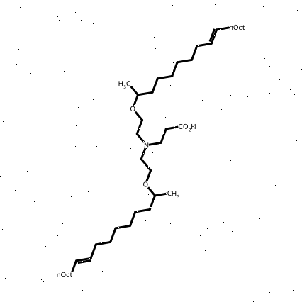 CCCCCCCCC=CCCCCCCC(C)OCCN(CCOC(C)CCCCCCC=CCCCCCCCC)CCC(=O)O